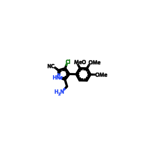 COc1ccc(-c2c(CN)[nH]c(C#N)c2Cl)c(OC)c1OC